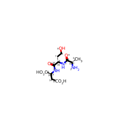 C[C@H](N)C(=O)N[C@@H](CCO)C(=O)N[C@@H](CC(=O)O)C(=O)O